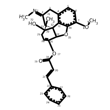 C/N=C1/Cc2ccc(OC)c3c2[C@@]2(C1)C(O3)C(OC(=O)/C=C/c1ccccc1)=CC[C@]2(C)O